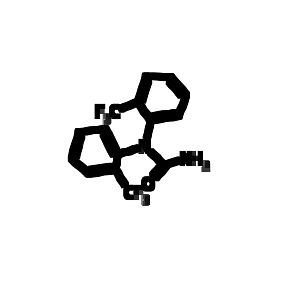 NC(=O)N(c1ccccc1C(F)(F)F)c1ccccc1C(F)(F)F